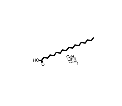 CCCCCCCCCCCCCCCCCC(=O)O.[CaH2].[CaH2].[CaH2]